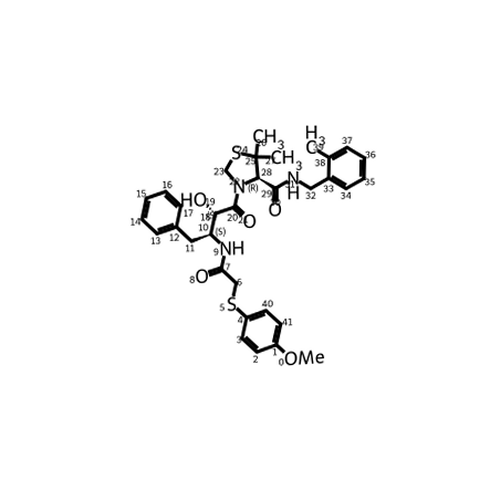 COc1ccc(SCC(=O)N[C@@H](Cc2ccccc2)[C@H](O)C(=O)N2CSC(C)(C)[C@H]2C(=O)NCc2ccccc2C)cc1